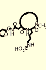 CN1CCCCC=CCCCC(CC(=O)NO[C@H]2CCCCO2)C(=O)NC(CCCCNC(=O)O)C1=O